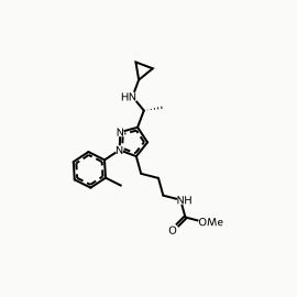 COC(=O)NCCCc1cc([C@@H](C)NC2CC2)nn1-c1ccccc1C